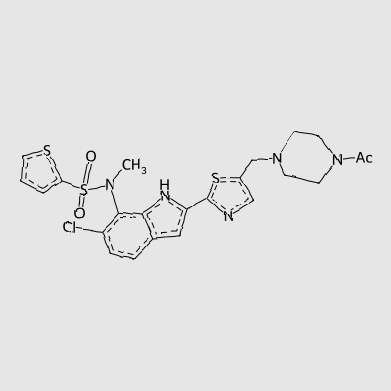 CC(=O)N1CCN(Cc2cnc(-c3cc4ccc(Cl)c(N(C)S(=O)(=O)c5cccs5)c4[nH]3)s2)CC1